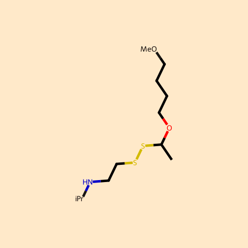 COCCCCOC(C)SSCCNC(C)C